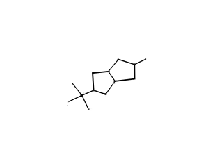 CC1CC2CC(C(C)(C)C)CC2C1